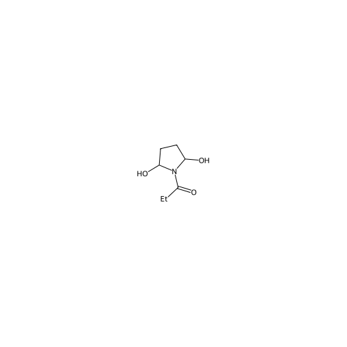 CCC(=O)N1C(O)CCC1O